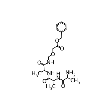 C[C@H](N)C(=O)N[C@H](C)C(=O)N[C@@H](C)C(=O)NCOCC(=O)OCc1ccccc1